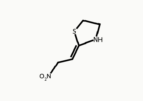 O=[N+]([O-])CC=C1NCCS1